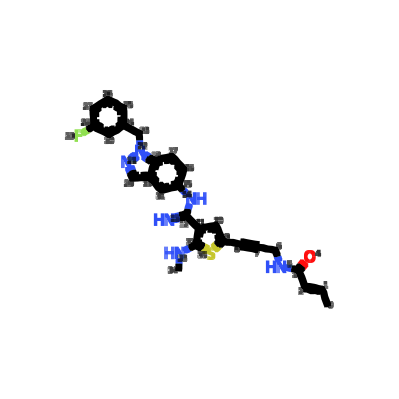 C/C=C/C(=O)NCC#Cc1cc(C(=N)Nc2ccc3c(cnn3Cc3cccc(F)c3)c2)c(NC)s1